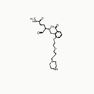 CNC(=O)CCC(C=O)N(C)Cc1c(C=O)cccc1SCCOCCCN1CCNCC1